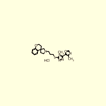 Cc1ncoc1-c1nnc(SCCCN2CCC3(CCOc4ccccc43)C2)n1C.Cl